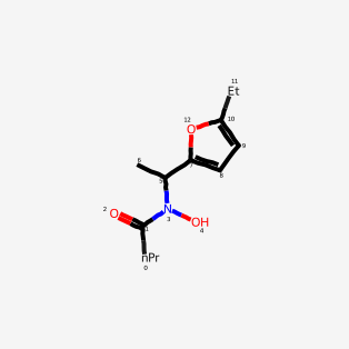 CCCC(=O)N(O)C(C)c1ccc(CC)o1